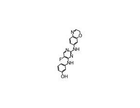 Oc1cccc(Nc2nc(Nc3ccc4c(c3)OCC=N4)ncc2F)c1